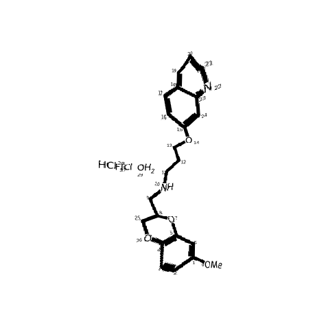 COc1ccc2c(c1)OC(CNCCCOc1ccc3cccnc3c1)CO2.Cl.Cl.O